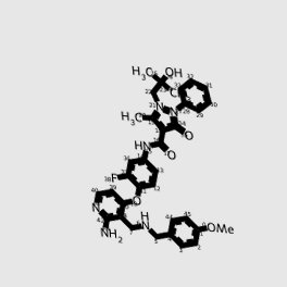 COc1ccc(CNCc2c(Oc3ccc(NC(=O)c4c(C)n(CC(C)(C)O)n(-c5ccccc5)c4=O)cc3F)ccnc2N)cc1